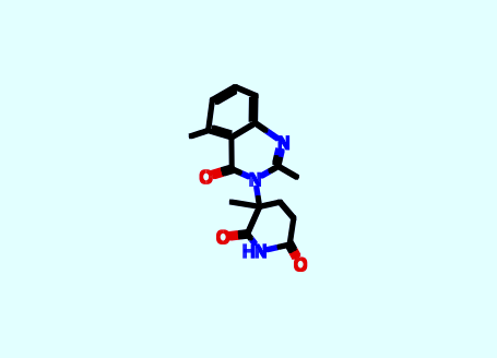 Cc1cccc2nc(C)n(C3(C)CCC(=O)NC3=O)c(=O)c12